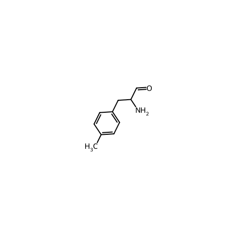 Cc1ccc(CC(N)C=O)cc1